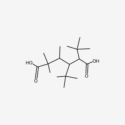 CC(C(C(C(=O)O)C(C)(C)C)C(C)(C)C)C(C)(C)C(=O)O